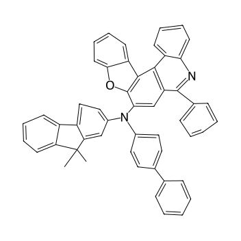 CC1(C)c2ccccc2-c2ccc(N(c3ccc(-c4ccccc4)cc3)c3cc4c(-c5ccccc5)nc5ccccc5c4c4c3oc3ccccc34)cc21